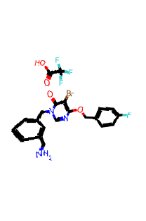 NCc1cccc(Cn2cnc(OCc3ccc(F)cc3)c(Br)c2=O)c1.O=C(O)C(F)(F)F